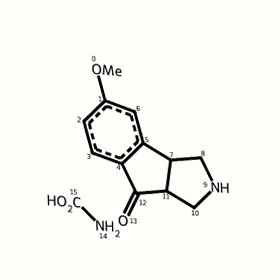 COc1ccc2c(c1)C1CNCC1C2=O.NC(=O)O